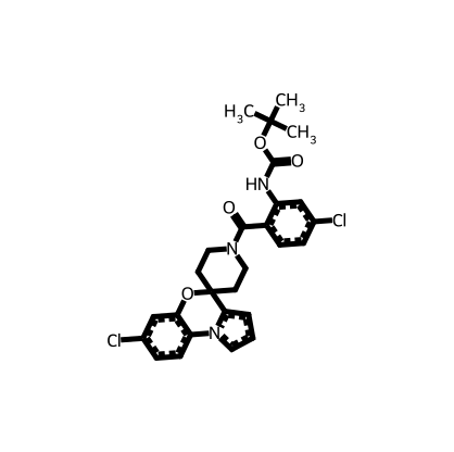 CC(C)(C)OC(=O)Nc1cc(Cl)ccc1C(=O)N1CCC2(CC1)Oc1cc(Cl)ccc1-n1cccc12